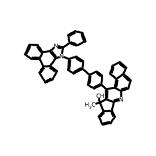 CC1(C)c2ccccc2-c2nc3ccc4ccccc4c3c(-c3ccc(-c4ccc(-n5c(-c6ccccc6)nc6c7ccccc7c7ccccc7c65)cc4)cc3)c21